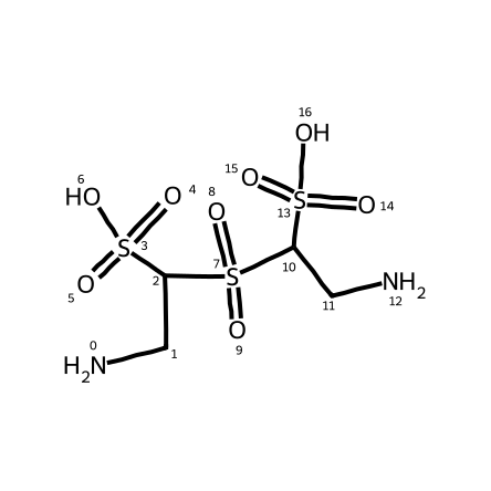 NCC(S(=O)(=O)O)S(=O)(=O)C(CN)S(=O)(=O)O